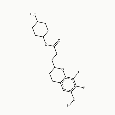 CCOc1cc2c(c(F)c1F)OC(CCC(=O)OC1CCC(C)CC1)CC2